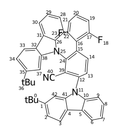 CC(C)(C)c1ccc2c3ccccc3n(-c3ccc(-c4c(F)cccc4F)c(-n4c5ccccc5c5ccc(C(C)(C)C)cc54)c3C#N)c2c1